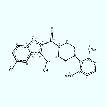 COc1cccc(OC)c1C1CCN(C(=O)c2[nH]c3ccc(Cl)cc3c2CC#N)CC1